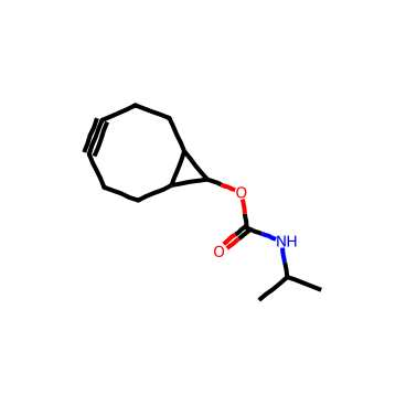 CC(C)NC(=O)OC1C2CCC#CCCC21